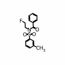 Cc1cccc(S(=O)(=O)N(CCF)C(=O)c2ccccc2)c1